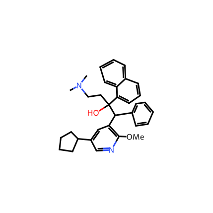 COc1ncc(C2CCCC2)cc1C(c1ccccc1)C(O)(CCN(C)C)c1cccc2ccccc12